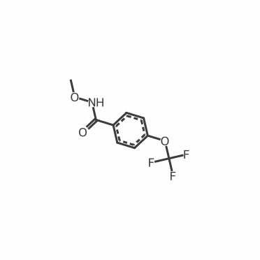 CONC(=O)c1ccc(OC(F)(F)F)cc1